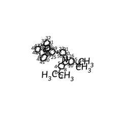 CC(C)c1ccc2c(c1)c1cc(C(C)C)ccc1n2-c1cccc(-c2ccc3c(c2)-c2ccccc2S32(=O)c3ccccc3-c3ccccc32)c1